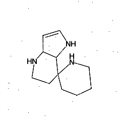 C1=CC2NCCC3(CCCCN3)C2N1